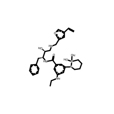 C=Cc1coc(CNC[C@H](O)[C@H](Cc2ccccc2)NC(=O)c2cc(NCC)cc(N3CCCCS3(O)O)c2)c1